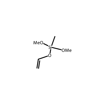 C=CO[Si](C)(OC)OC